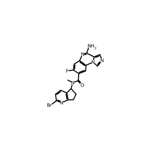 CN(C(=O)c1cc2c(cc1F)nc(N)c1cncn12)C1CCc2nc(Br)ccc21